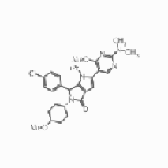 COc1nc(N(C)C)ncc1-c1cc2c(n1C(C)C)C(c1ccc(Cl)cc1)N([C@H]1CC[C@H](OC)CC1)C2=O